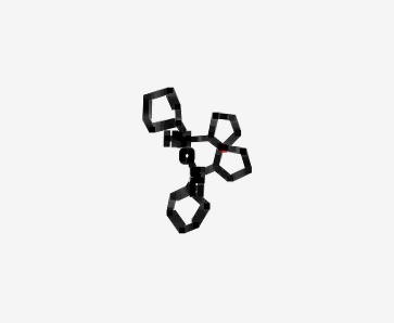 c1ccc([SiH](O[SiH](c2ccccc2)C2CCCC2)C2CCCC2)cc1